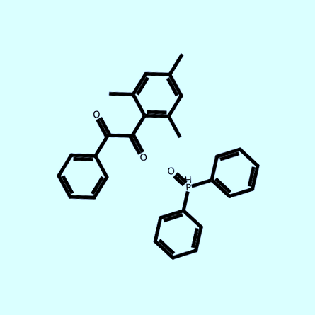 Cc1cc(C)c(C(=O)C(=O)c2ccccc2)c(C)c1.O=[PH](c1ccccc1)c1ccccc1